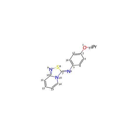 CC(C)Oc1ccc(N=c2snc3ccccn23)cc1